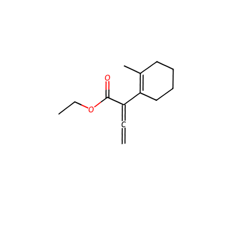 C=C=C(C(=O)OCC)C1=C(C)CCCC1